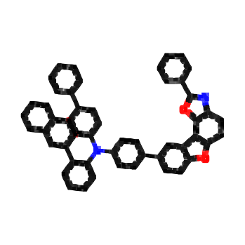 c1ccc(-c2ccc(N(c3ccc(-c4ccc5oc6ccc7nc(-c8ccccc8)oc7c6c5c4)cc3)c3ccccc3-c3ccc4ccccc4c3)cc2)cc1